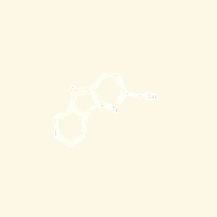 CC(C)(C)c1ccc2oc3ccccc3c2n1